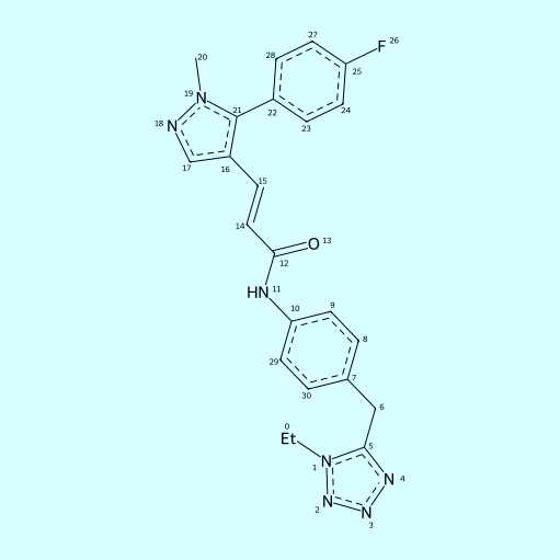 CCn1nnnc1Cc1ccc(NC(=O)/C=C/c2cnn(C)c2-c2ccc(F)cc2)cc1